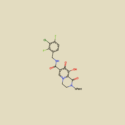 CCCCCN1CCn2cc(C(=O)NCc3ccc(F)c(Cl)c3F)c(=O)c(O)c2C1=O